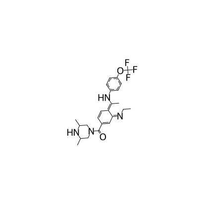 CC/N=C1/C=C(C(=O)N2CC(C)NC(C)C2)C=C/C1=C(/C)Nc1ccc(OC(F)(F)F)cc1